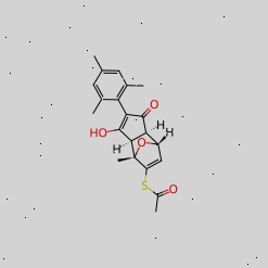 CC(=O)SC1=C[C@@H]2O[C@@]1(C)[C@H]1C(O)=C(c3c(C)cc(C)cc3C)C(=O)[C@@H]21